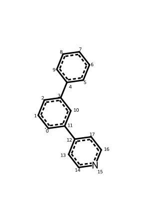 [c]1ccc(-c2ccccc2)cc1-c1ccncc1